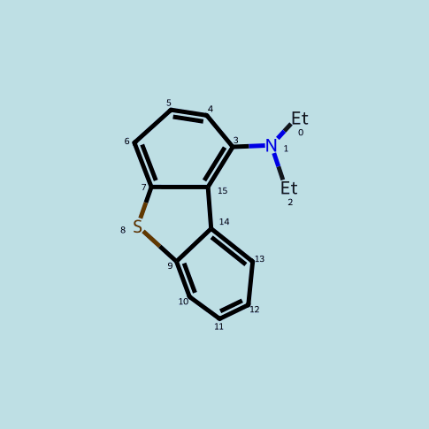 CCN(CC)c1cccc2sc3ccccc3c12